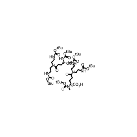 CC(C)(C)OC(=O)NCCN(CCNC(=O)OC(C)(C)C)C(=O)CC[C@H](NC(=O)OC(C)(C)C)C(=O)O.CN(C(=O)OC(C)(C)C)[C@@H](CCC(=O)N(CCNC(=O)OC(C)(C)C)CCNC(=O)OC(C)(C)C)C(=O)O